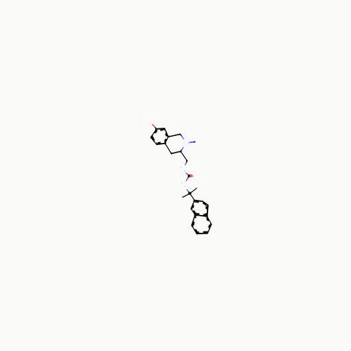 CN1Cc2cc(O)ccc2CC1CNC(=O)NC(C)(C)c1ccc2ccccc2c1